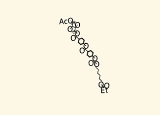 CCC(=O)OCCCCCCOC(=O)Oc1ccc(C(=O)Oc2ccc(C(=O)O[C@H]3COC4C3OC[C@H]4OC(C)=O)cc2)cc1